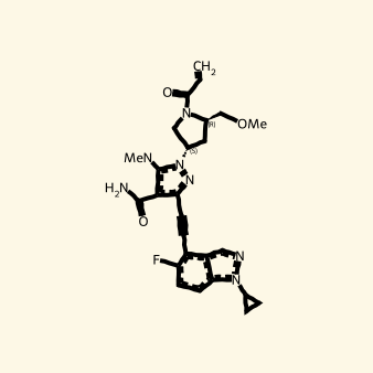 C=CC(=O)N1C[C@@H](n2nc(C#Cc3c(F)ccc4c3cnn4C3CC3)c(C(N)=O)c2NC)C[C@@H]1COC